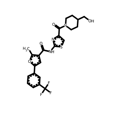 Cc1oc(-c2cccc(C(F)(F)F)c2)cc1C(=O)Nc1nc(C(=O)N2CCC(CO)CC2)cs1